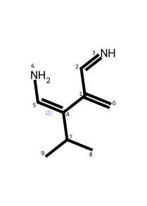 C=C(C=N)/C(=C\N)C(C)C